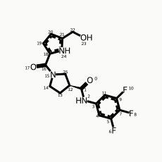 O=C(Nc1cc(F)c(F)c(F)c1)[C@H]1CCN(C(=O)c2ccc(CO)[nH]2)C1